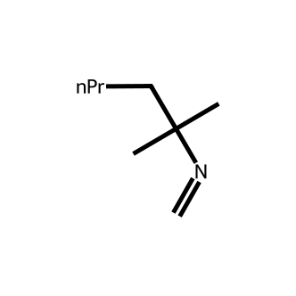 C=NC(C)(C)CCCC